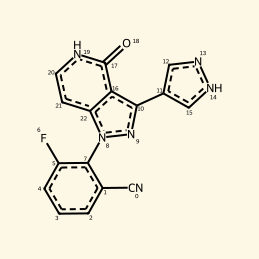 N#Cc1cccc(F)c1-n1nc(-c2cn[nH]c2)c2c(=O)[nH]ccc21